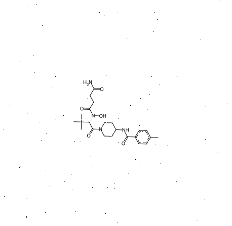 Cc1ccc(C(=O)NC2CCN(C(=O)[C@@H](N(O)C(=O)CCC(N)=O)C(C)(C)C)CC2)cc1